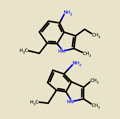 CCc1ccc(N)c2c(C)c(C)[nH]c12.CCc1ccc(N)c2c(CC)c(C)[nH]c12